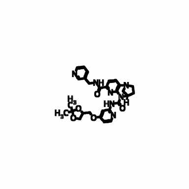 CC1(C)OCC(COc2ccnc(NC(=O)N3c4nc(C(=O)NCc5cccnc5)ccc4N4CC[C@H]3C4)c2)O1